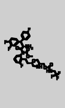 COC(=O)N(C(=O)[C@@H](N)[C@H](c1ccc(F)cc1)c1ccc(F)c(F)c1)c1cccc(F)c1CC[C@@H]1CN[C@H](COC(=O)NCC(F)(F)F)CO1